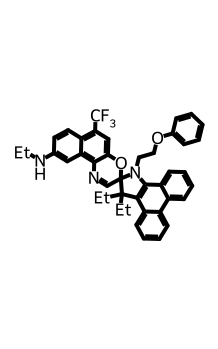 CCNc1ccc2c(C(F)(F)F)cc3c(c2c1)N=CC1(O3)N(CCOc2ccccc2)c2c(c3ccccc3c3ccccc23)C1(CC)CC